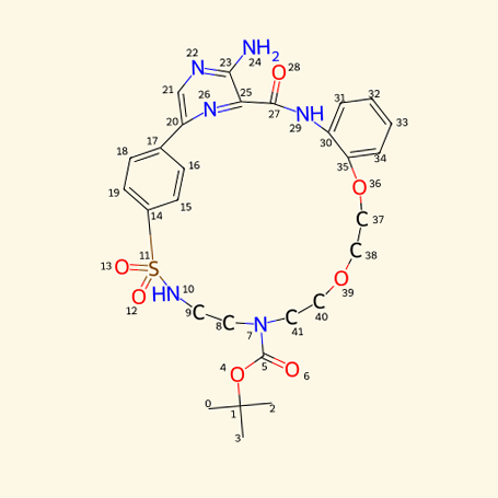 CC(C)(C)OC(=O)N1CCNS(=O)(=O)c2ccc(cc2)-c2cnc(N)c(n2)C(=O)Nc2ccccc2OCCOCC1